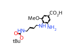 COc1cc(C(=O)O)cc(N)c1NCC=CCNC(=O)OC(C)(C)C